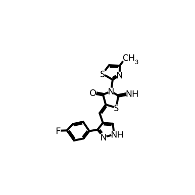 Cc1csc(N2C(=N)S/C(=C\c3c[nH]nc3-c3ccc(F)cc3)C2=O)n1